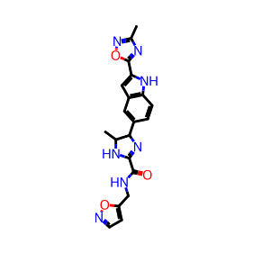 Cc1noc(-c2cc3cc(C4N=C(C(=O)NCc5ccno5)NC4C)ccc3[nH]2)n1